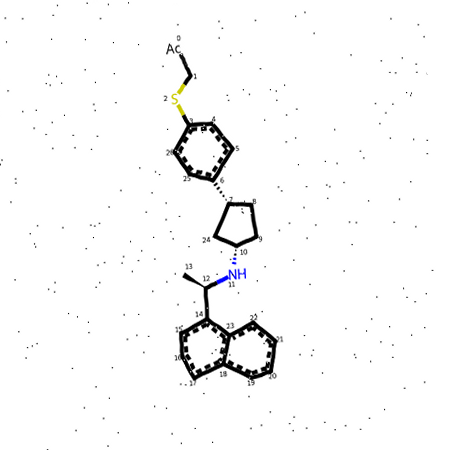 CC(=O)CSc1ccc([C@@H]2CC[C@H](N[C@H](C)c3cccc4ccccc34)C2)cc1